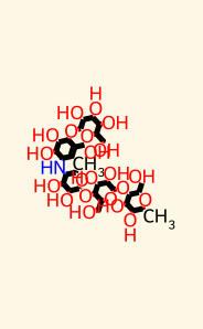 CC1OC(CO)C(OC2OC(CO)C(OC3OC(C)C(NC4C=C(CO)C(OC5OC(CO)C(O)C(O)C5O)C(O)C4O)C(O)C3O)C(O)C2O)C(O)C1O